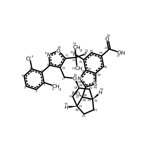 Cc1cccc(Cl)c1-c1noc(C(C)(C)F)c1CO[C@@H]1C[C@H]2CC[C@@H](C1)[C@]2(O)c1nc2c(F)cc(C(=O)O)cc2s1